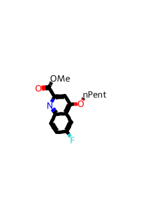 CCCCCOc1cc(C(=O)OC)nc2ccc(F)cc12